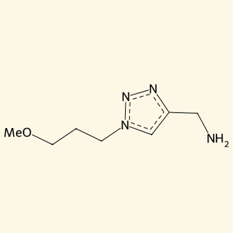 COCCCn1cc(CN)nn1